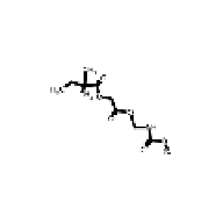 [3H]OC(=O)NCOC(=O)COC(=O)C(C)(C)CC